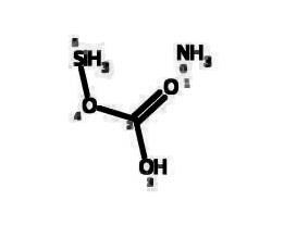 N.O=C(O)O[SiH3]